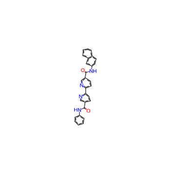 O=C(Nc1ccccc1)c1ccc(-c2ccc(C(=O)Nc3ccc4ccccc4c3)cn2)nc1